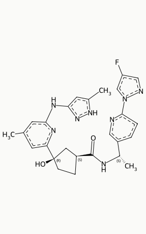 Cc1cc(Nc2cc(C)[nH]n2)nc([C@@]2(O)CC[C@H](C(=O)N[C@@H](C)c3ccc(-n4cc(F)cn4)nc3)C2)c1